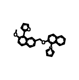 COc1ccc2ccc(COc3ccc4ccccc4c3-n3cccc3)cc2c1-c1ccco1